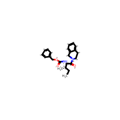 CC[C@H](C)[C@H](NC(=O)OCc1ccccc1)C(=O)N1CCc2ccccc2C1